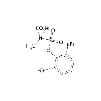 CCCc1cccc(CCC)c1OS(=O)(=O)N(C)C(=O)O